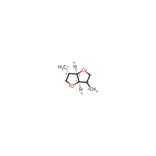 CC1CO[C@H]2[C@@H]1OC[C@@H]2C